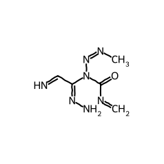 C=NC(=O)N(/N=N\C)/C(C=N)=N\N